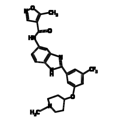 Cc1oncc1C(=O)Nc1ccc2[nH]c(-c3cc(OC4CCN(C)CC4)cc(C(F)(F)F)c3)nc2c1